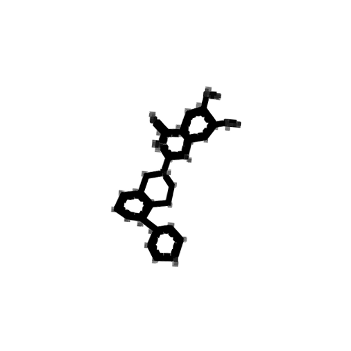 COc1cc2nc(N3CCc4c(cccc4-c4ccncc4)C3)[nH]c(=O)c2cc1OC